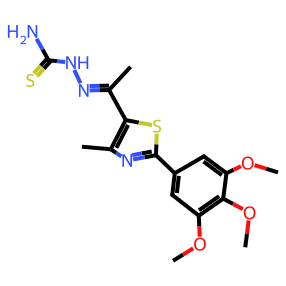 COc1cc(-c2nc(C)c(C(C)=NNC(N)=S)s2)cc(OC)c1OC